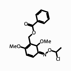 COC1=C(COC(=O)c2ccccc2)C(OC)/C(=N\OC(C)Cl)C=C1